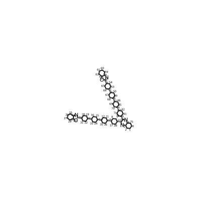 c1ccc2nc(-c3ccc(-c4ccc(-c5ccc(-c6ccc(-c7nc8ccccc8o7)cc6)cc5)cc4)cc3)c(-c3ccc(-c4ccc(-c5ccc(-c6ccc(-c7nc8ccccc8o7)cc6)cc5)cc4)cc3)nc2c1